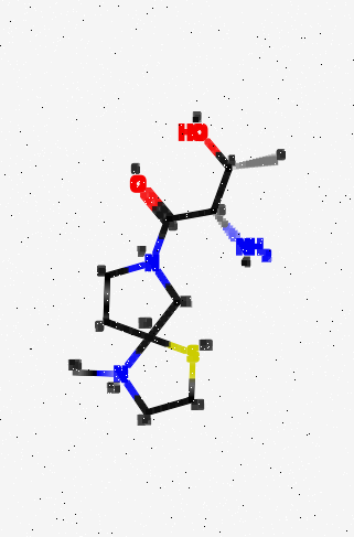 C[C@@H](O)[C@H](N)C(=O)N1CCC2(C1)SCCN2C